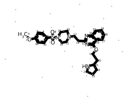 COc1ccc(S(=O)(=O)N2CCN(CCc3nc(OCCC4CCCN4)c4ccccc4n3)CC2)cc1